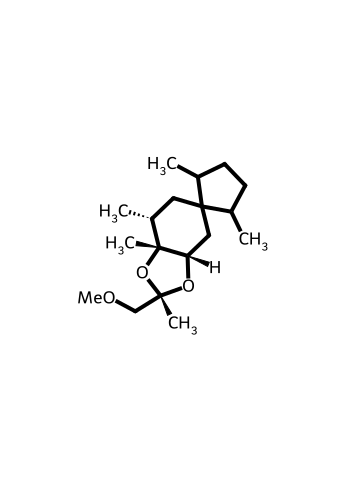 COC[C@@]1(C)O[C@H]2CC3(C[C@@H](C)[C@@]2(C)O1)C(C)CCC3C